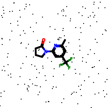 Cc1cc(C(F)(F)F)cc(N2CCCC2=O)n1